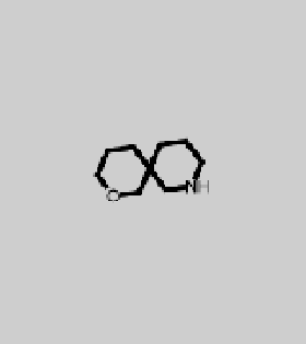 C1CNCC2(C1)CCCOC2